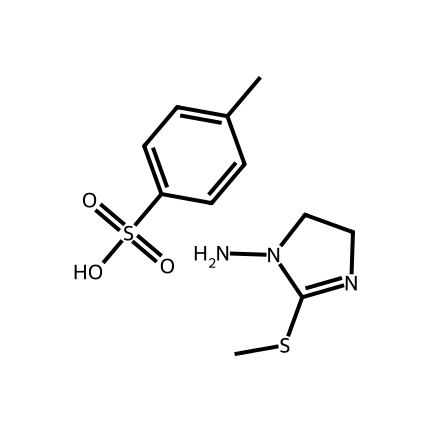 CSC1=NCCN1N.Cc1ccc(S(=O)(=O)O)cc1